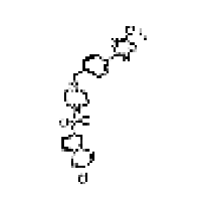 Cc1nc(-c2ccc(CN3CCN(S(=O)(=O)c4ccc5cc(Cl)ccc5c4)CC3)cc2)no1